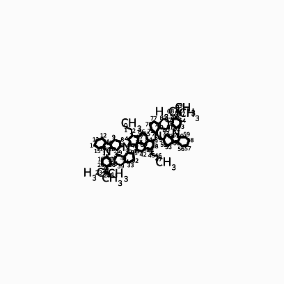 CCCc1cc(N(c2ccc3c4ccccc4n(-c4ccc(C(C)(C)C)cc4)c3c2)c2cccc3c2CCCC3)c2ccc3c(CCC)cc(N(c4ccc5c6ccccc6n(-c6ccc(C(C)(C)C)cc6)c5c4)c4cccc5c4CCCC5)c4ccc1c2c34